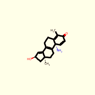 CC1=C2CCC3=C(CC[C@@]4(C)C[C@@H](O)C=C34)[C@]2(N)C=CC1=O